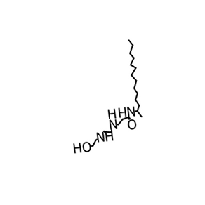 CCCCCCCCCCCCC(C)NC(=O)CCNCCNCCO